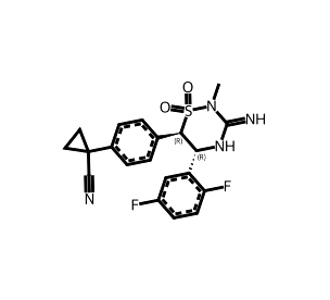 CN1C(=N)N[C@H](c2cc(F)ccc2F)[C@@H](c2ccc(C3(C#N)CC3)cc2)S1(=O)=O